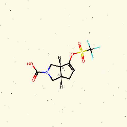 O=C(O)N1C[C@H]2CC=C(OS(=O)(=O)C(F)(F)F)[C@H]2C1